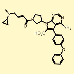 CN(C/C=C/C(=O)N1CCC(n2c(C(=O)O)c(-c3ccc(Oc4ccccc4)cc3)c3c(N)ncnc32)C1)C1CC1